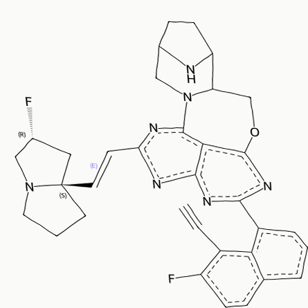 C#Cc1c(F)ccc2cccc(-c3nc4c5c(nc(/C=C/[C@@]67CCCN6C[C@H](F)C7)nc5n3)N3CC5CCC(N5)C3CO4)c12